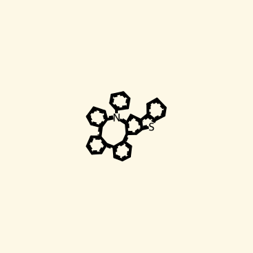 c1ccc(-n2c3ccccc3c3ccccc3c3ccccc3c3cc4sc5ccccc5c4cc32)cc1